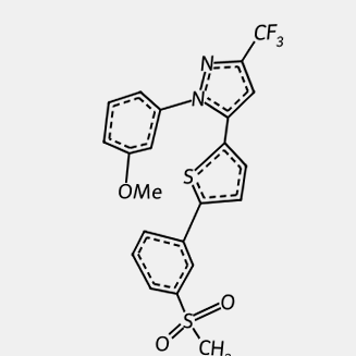 COc1cccc(-n2nc(C(F)(F)F)cc2-c2ccc(-c3cccc(S(C)(=O)=O)c3)s2)c1